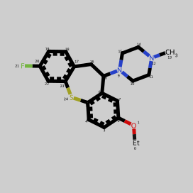 CCOc1ccc2c(c1)C(N1CCN(C)CC1)Cc1ccc(F)cc1S2